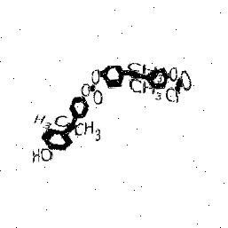 CC(C)(c1ccc(O)cc1)c1ccc(OC(=O)Oc2ccc(C(C)(C)c3ccc(OC(=O)Cl)cc3)cc2)cc1